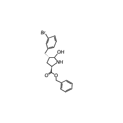 O=C(OCc1ccccc1)[C@H]1C[C@H](Cc2cccc(Br)c2)C(O)N1